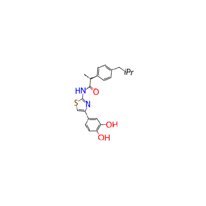 CC(C)Cc1ccc(C(C)C(=O)Nc2nc(-c3ccc(O)c(O)c3)cs2)cc1